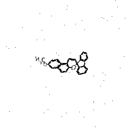 COc1ccc2c3c(ccc2c1)OC1(C=C3)c2ccccc2-c2ccccc21